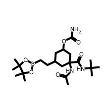 CC(=O)NC1(C(=O)NC(C)(C)C)CC(CCB2OC(C)(C)C(C)(C)O2)CC(OC(N)=O)C1